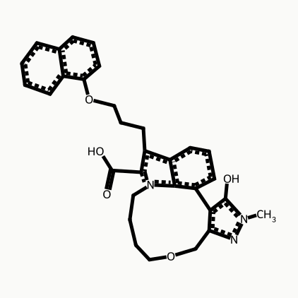 Cn1nc2c(c1O)-c1cccc3c(CCCOc4cccc5ccccc45)c(C(=O)O)n(c13)CCCCOC2